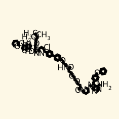 C[Si](C)(C)CCOCn1c(O[C@@H]2CO[C@H]3[C@@H]2OC[C@H]3OC2CCCCO2)nc2nc(-c3ccc(-c4ccc(OCCNC(=O)CCOCCOCCC(=O)N5CCC[C@@H](n6nc(-c7ccc(Oc8ccccc8)cc7)c7c(N)ncnc76)C5)cc4)cc3)c(Cl)cc21